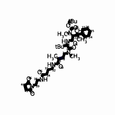 C/C(=C\CN(C)C(=O)C(NC(=O)[C@@H](N(C)C(=O)OC(C)(C)C)C(C)(C)c1ccccc1)C(C)(C)C)C(=O)NCCCC(=O)NCCN1C(=O)C=CC1=O